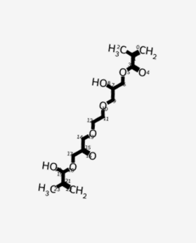 C=C(C)C(=O)OCC(O)COCCOCC(=O)COC(O)C(=C)C